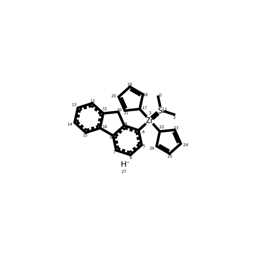 C[Si](C)=[Zr]([c]1cccc2c1Cc1ccccc1-2)([CH]1C=CC=C1)[CH]1C=CC=C1.[H-]